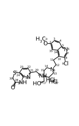 COc1ccc2ncc(Cl)c(CCN3CCC(CO)(NCc4ccc5c(n4)NC(=O)CS5)CC3)c2c1.Cl.Cl